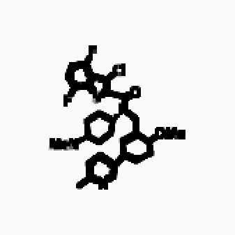 CN[C@H]1CC[C@H](N(CC2=CC(c3ccc(C)nc3)=CCC2OC)C(=O)c2sc3c(F)ccc(F)c3c2Cl)CC1